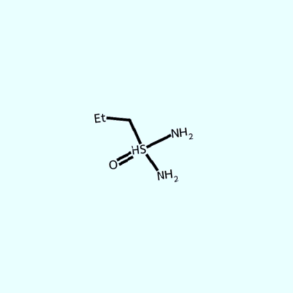 CCC[SH](N)(N)=O